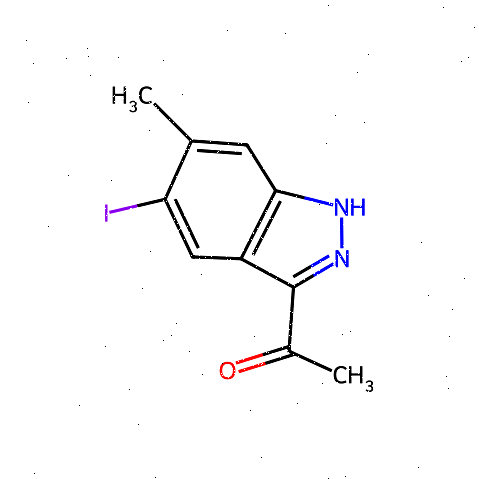 CC(=O)c1n[nH]c2cc(C)c(I)cc12